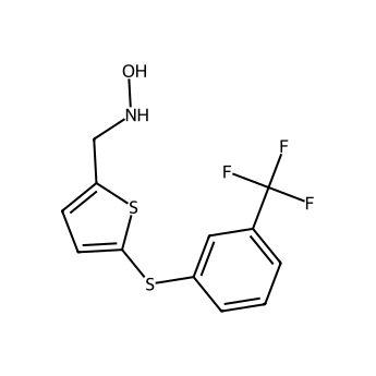 ONCc1ccc(Sc2cccc(C(F)(F)F)c2)s1